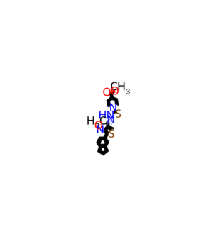 COC(=O)C1CCN(C(=S)N/N=C(\C)c2csc(-c3ccc4c(c3)CCC4)c2N=O)CC1